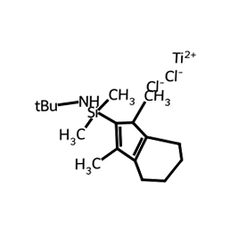 CC1=C([Si](C)(C)NC(C)(C)C)C(C)C2=C1CCCC2.[Cl-].[Cl-].[Ti+2]